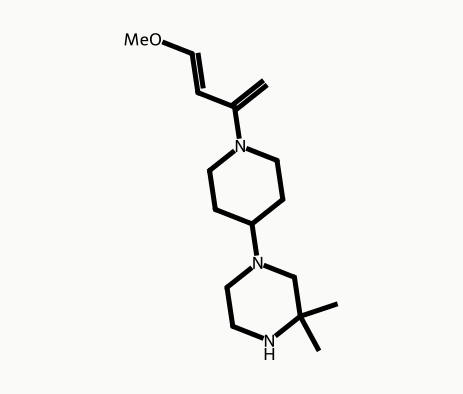 C=C(/C=C/OC)N1CCC(N2CCNC(C)(C)C2)CC1